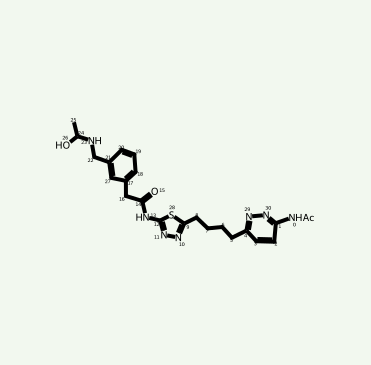 CC(=O)Nc1ccc(CCCCc2nnc(NC(=O)Cc3cccc(CNC(C)O)c3)s2)nn1